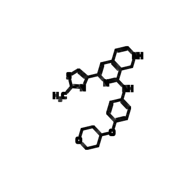 Cc1nc(-c2cc3c(c(Nc4ccc(OC5CCOCC5)cc4)n2)CNC=C3)cs1